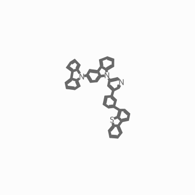 c1cc(-c2cncc(-n3c4ccccc4c4cc(-n5c6ccccc6c6ccccc65)ccc43)c2)cc(-c2cccc3c2sc2ccccc23)c1